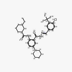 CCC1CCCC(C(=O)Nc2ccc(N3CCCCC3)cc2C(=O)N/N=C/c2ccc(Cl)c(C(F)(F)F)c2)C1